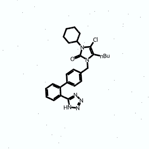 CCCCc1c(Cl)n(C2CCCCC2)c(=O)n1Cc1ccc(-c2ccccc2-c2nnn[nH]2)cc1